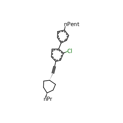 CCCCCc1ccc(-c2ccc(C#C[C@H]3CC[C@H](CCC)CC3)cc2Cl)cc1